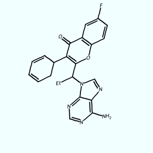 CCC(c1oc2ccc(F)cc2c(=O)c1C1C=CC=CC1)n1cnc2c(N)ncnc21